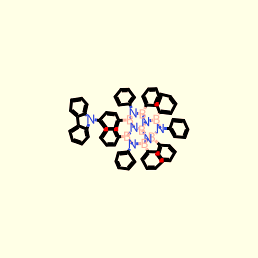 c1ccc(B2N3B4N(B(c5ccccc5)N2c2ccccc2)B(c2ccccc2)N(c2ccccc2)B(c2ccc(-n5c6ccccc6c6ccccc65)cc2)N4B(c2ccccc2)N(c2ccccc2)B3c2ccccc2)cc1